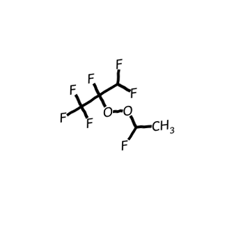 CC(F)OOC(F)(C(F)F)C(F)(F)F